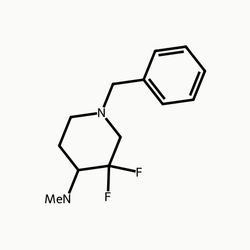 CNC1CCN(Cc2ccccc2)CC1(F)F